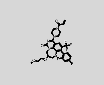 C=CC(=O)N1CCN(c2nc(=O)n3c4c(c(-c5ccc(F)cc5F)c(C(F)(F)F)cc24)SCC(OCCOC)C3)CC1